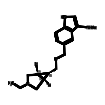 CC(=O)Nc1c[nH]c2ccc(COC[C@@H]3[C@H]4CN(CC(F)(F)F)C[C@@H]34)cc12